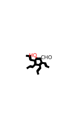 CC=Cc1c(O)c(C=O)c(C=CC)c(C=CC)c1C=CC